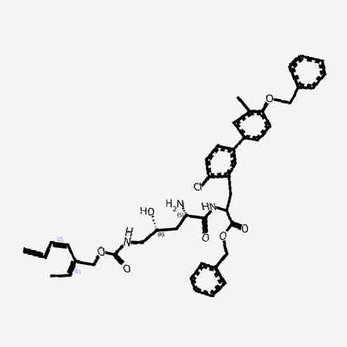 C=C/C=C\C(=C/C)COC(=O)NC[C@H](O)C[C@H](N)C(=O)NC(Cc1cc(-c2ccc(OCc3ccccc3)c(C)c2)ccc1Cl)C(=O)OCc1ccccc1